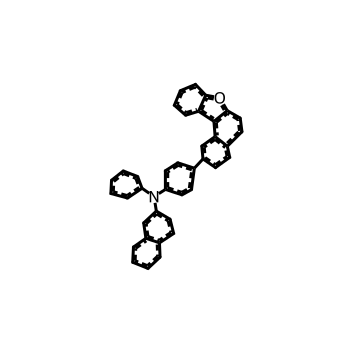 c1ccc(N(c2ccc(-c3ccc4ccc5oc6ccccc6c5c4c3)cc2)c2ccc3ccccc3c2)cc1